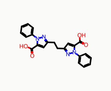 O=C(O)c1cc(CCc2cc(C(=O)O)n(-c3ccccc3)n2)nn1-c1ccccc1